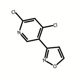 Clc1cc(Cl)c(-c2ccon2)cn1